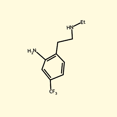 CCNCCc1ccc(C(F)(F)F)cc1N